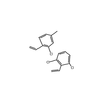 C=Cc1c(Cl)cccc1Cl.C=Cc1ccc(C)cc1Cl